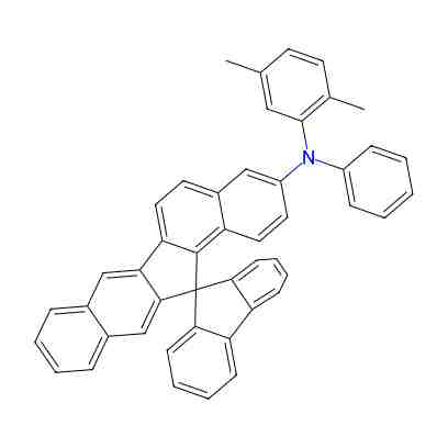 Cc1ccc(C)c(N(c2ccccc2)c2ccc3c4c(ccc3c2)-c2cc3ccccc3cc2C42c3ccccc3-c3ccccc32)c1